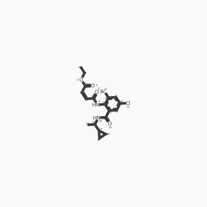 CCOC(=O)/C=C\C(=O)Nc1c(Br)cc(Cl)cc1C(=O)NC(C)C1CC1